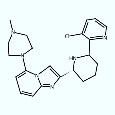 CN1CCN(c2cccc3nc([C@H]4CCCC(c5ncccc5Cl)N4)cn23)CC1